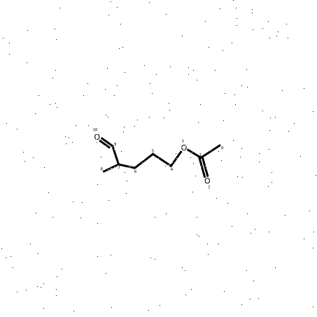 CC(=O)OCCCC(C)C=O